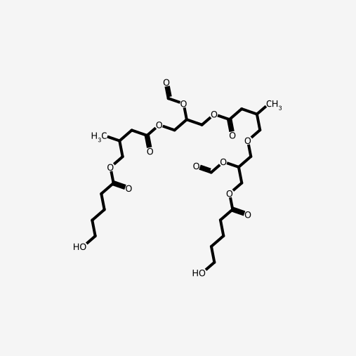 CC(COCC(COC(=O)CCCCO)OC=O)CC(=O)OCC(COC(=O)CC(C)COC(=O)CCCCO)OC=O